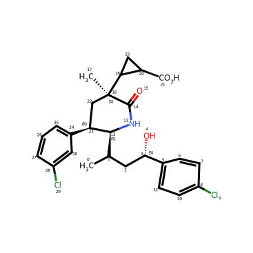 CC(C[C@H](O)c1ccc(Cl)cc1)[C@@H]1NC(=O)[C@](C)(C2CC2C(=O)O)C[C@@H]1c1cccc(Cl)c1